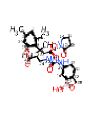 Cc1cc(C)c(C(C)(C)CC(=O)ON2CCCC2=O)c(OC(=O)CCNC(=O)Nc2ccc3c(c2)B(O)OC3)c1